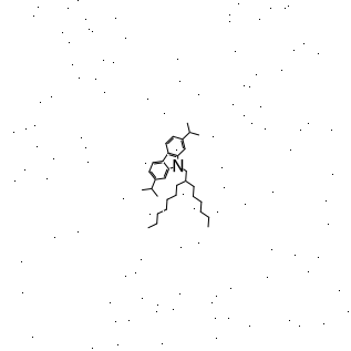 CCCCCCCC(CCCCCC)Cn1c2cc(C(C)C)ccc2c2ccc(C(C)C)cc21